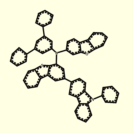 c1ccc(-c2cc(-c3ccccc3)cc(N(c3ccc4c(c3)oc3ccccc34)c3cc(-c4ccc5c(c4)c4ccccc4n5-c4ccccc4)cc4c3sc3ccccc34)c2)cc1